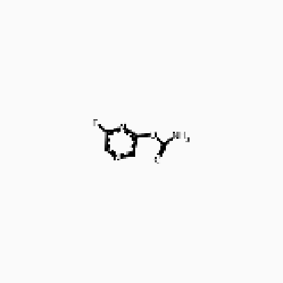 NC(=O)Oc1cncc(F)n1